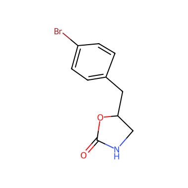 O=C1NCC(Cc2ccc(Br)cc2)O1